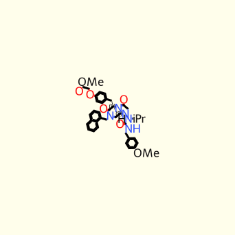 COC(=O)COc1ccc(C[C@H]2C(=O)N(Cc3cccc4ccccc34)C[C@H]3N2C(=O)CN3N(C(=O)NCc2ccc(OC)cc2)C(C)C)cc1